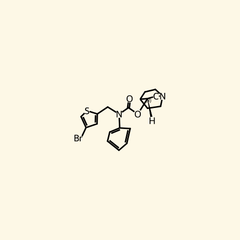 O=C(O[C@H]1CN2CCC1CC2)N(Cc1cc(Br)cs1)c1ccccc1